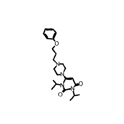 CC(C)n1c(N2CCN(CCCOc3ccccc3)CC2)cc(=O)n(C(C)C)c1=O